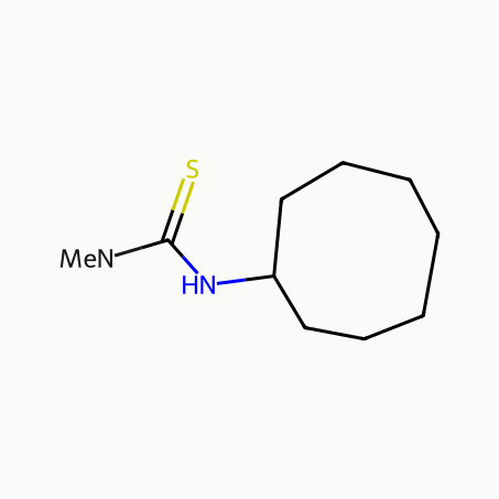 CNC(=S)NC1CCCCCCC1